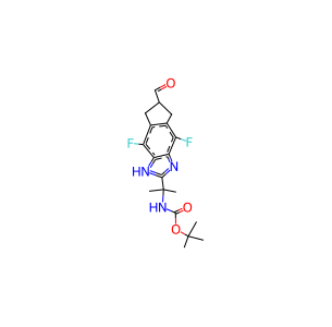 CC(C)(C)OC(=O)NC(C)(C)c1nc2c(F)c3c(c(F)c2[nH]1)CC(C=O)C3